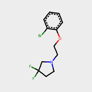 FC1(F)CCN(CCOc2ccccc2Br)C1